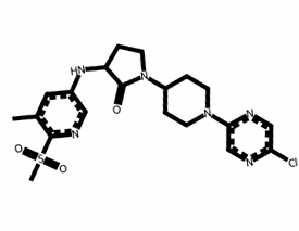 Cc1cc(NC2CCN(C3CCN(c4cnc(Cl)cn4)CC3)C2=O)cnc1S(C)(=O)=O